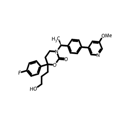 COc1cncc(-c2ccc([C@H](C)N3CCC(CCCO)(c4ccc(F)cc4)OC3=O)cc2)c1